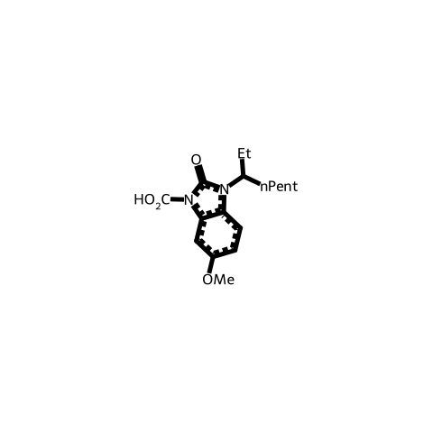 CCCCCC(CC)n1c(=O)n(C(=O)O)c2cc(OC)ccc21